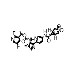 C[C@@H](OC(=O)Nc1c(-c2ccc(NC(=O)[C@H]3[C@@H]4CS(=O)(=O)C[C@@H]43)cn2)nnn1C)c1cc(F)cnc1F